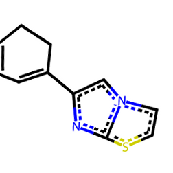 C1=CCCC(c2cn3ccsc3n2)=C1